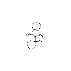 N#CC1(N2C(=O)C3=C(CCCC3)C2=O)CCCCC1